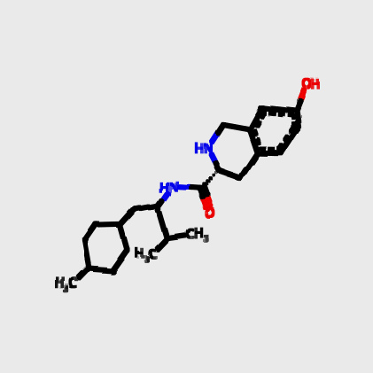 CC1CCC(CC(NC(=O)[C@H]2Cc3ccc(O)cc3CN2)C(C)C)CC1